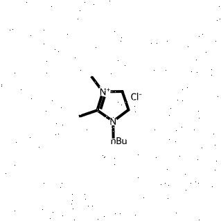 CCCCN1CC[N+](C)=C1C.[Cl-]